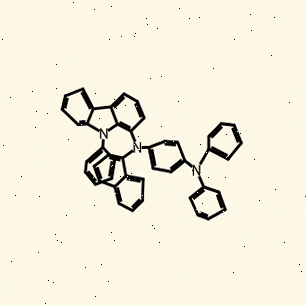 c1ccc(N(c2ccccc2)c2ccc(N(c3cccc4ccccc34)c3cccc4c5ccccc5n(-c5ccccc5)c34)cc2)cc1